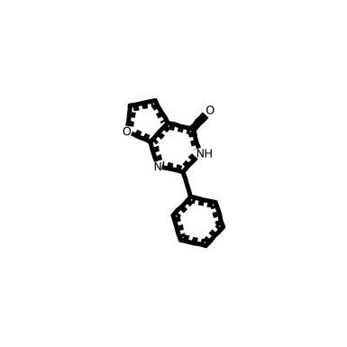 O=c1[nH]c(-c2ccccc2)nc2occc12